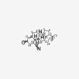 C=C(C)[C@@H]1CC[C@H]2[C@@H]3CCC4=CC(=O)CC(C#N)[C@@H]4[C@H]3CC[C@]12CC